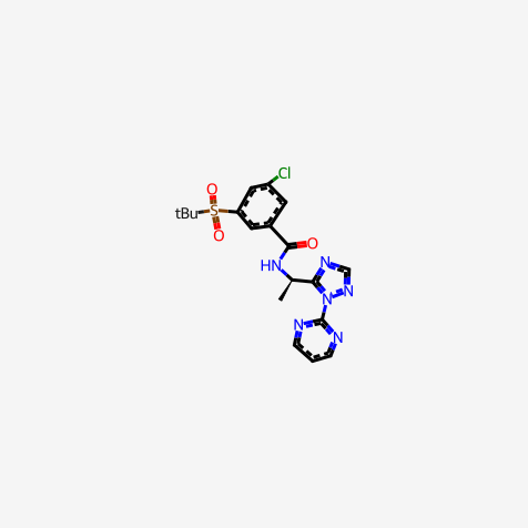 C[C@@H](NC(=O)c1cc(Cl)cc(S(=O)(=O)C(C)(C)C)c1)c1ncnn1-c1ncccn1